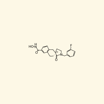 O=C(NO)c1ccc2c(c1)CC[C@@]1(CCN(Cc3cccc(F)c3)C1=O)C2